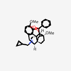 COc1ccc2c3c1O[C@@H]1[C@]34CCN(CC3CC3)[C@H](C2)[C@]42CC[C@@]1(OC)C(C(O)c1ccccc1)C2